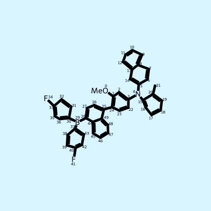 COc1cc(N(c2ccc3ccccc3c2)c2ccccc2C)ccc1-c1ccc(B(c2ccc(F)cc2)c2ccc(F)cc2)c2ccccc12